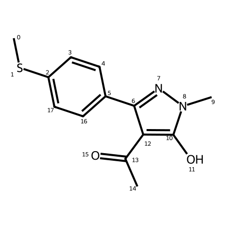 CSc1ccc(-c2nn(C)c(O)c2C(C)=O)cc1